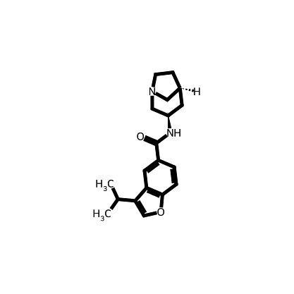 CC(C)c1coc2ccc(C(=O)N[C@@H]3C[C@@H]4CCN(C4)C3)cc12